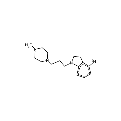 [2H]c1cccc2c1CCN2CCCN1CCN(C)CC1